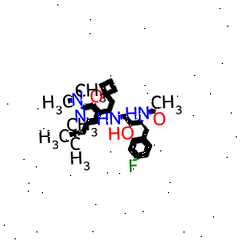 CC(=O)N[C@@H](Cc1ccc(F)cc1)[C@@H](O)CN[C@H]1CC2(CCC2)Oc2c1cc(CC(C)(C)C)nc2N(C)C